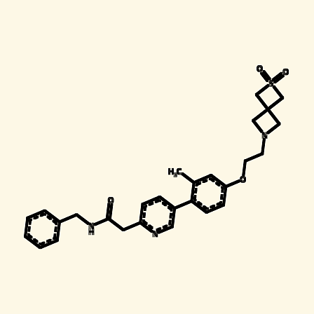 Cc1cc(OCCN2CC3(C2)CS(=O)(=O)C3)ccc1-c1ccc(CC(=O)NCc2ccccc2)nc1